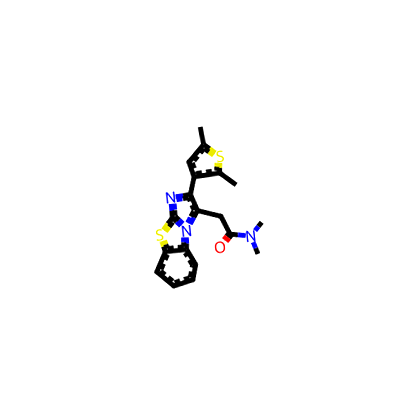 Cc1cc(-c2nc3sc4ccccc4n3c2CC(=O)N(C)C)c(C)s1